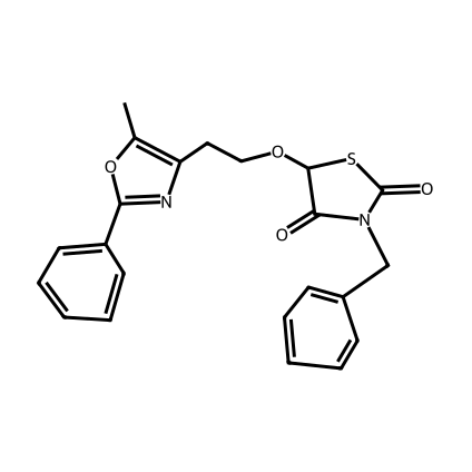 Cc1oc(-c2ccccc2)nc1CCOC1SC(=O)N(Cc2ccccc2)C1=O